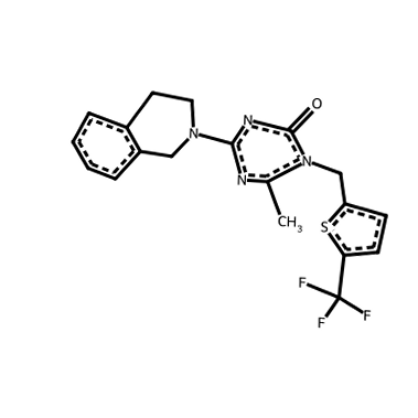 Cc1nc(N2CCc3ccccc3C2)nc(=O)n1Cc1ccc(C(F)(F)F)s1